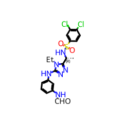 CCn1c(Nc2cccc(NC=O)c2)nnc1[C@@H](C)NS(=O)(=O)c1ccc(Cl)c(Cl)c1